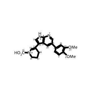 COc1ccc(-c2cnc3[nH]cc(C4=CN(C(=O)O)CCC4)c3c2)cc1OC